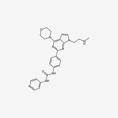 CNCCn1ccc2c(N3CCOCC3)nc(-c3ccc(NC(=O)Nc4ccncc4)cc3)nc21